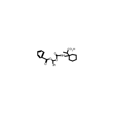 CC(C)C(OC(=O)NCC1(C(C)C(=O)O)CCCCC1)OC(=O)c1ccccc1